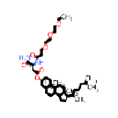 CCOCCOCCOCCC(=O)N[C@@H](CC(=O)O[C@H]1CC[C@@]2(C)C(CCC3C2CC[C@@]2(C)C3CC[C@@H]2[C@H](C)CCCC(C)C)C1)C(N)=O